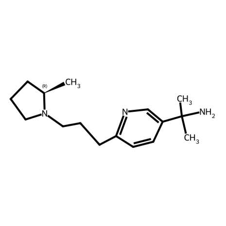 C[C@@H]1CCCN1CCCc1ccc(C(C)(C)N)cn1